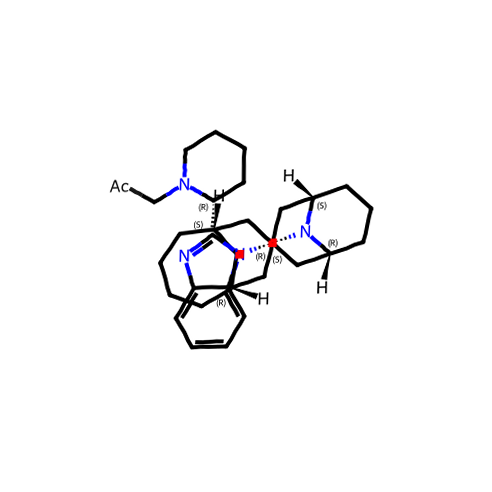 CC(=O)CN1CCCC[C@@H]1c1nc2ccccc2n1[C@H]1C[C@H]2CCC[C@@H](C1)N2[C@@H]1C[C@@H]2CCCC[C@@H](C2)C1